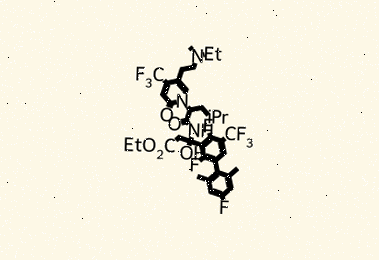 CCOC(=O)CC(O)(NC(=O)C(CC(C)C)n1cc(CCN(C)CC)c(C(F)(F)F)cc1=O)c1c(F)c(-c2c(C)cc(F)cc2C)cc(C(F)(F)F)c1F